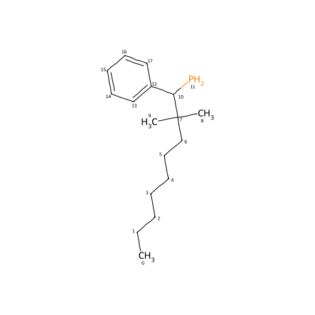 CCCCCCCC(C)(C)C(P)c1ccccc1